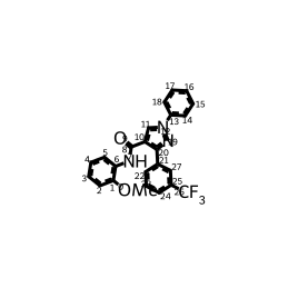 COc1ccccc1NC(=O)c1cn(-c2ccccc2)nc1-c1cccc(C(F)(F)F)c1